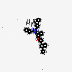 CC1(C)c2ccccc2-c2ccc(-c3nc(-c4ccc5ccccc5c4)nc(-c4cc5oc6cc(-c7ccc(-c8ccccc8)c8ccccc78)ccc6c5c5ccccc45)n3)cc21